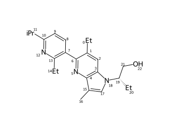 CCc1cc2c(nc1-c1ccc(C(C)C)nc1CC)c(C)cn2[C@@H](CC)CO